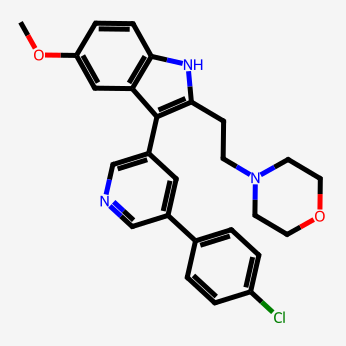 COc1ccc2[nH]c(CCN3CCOCC3)c(-c3cncc(-c4ccc(Cl)cc4)c3)c2c1